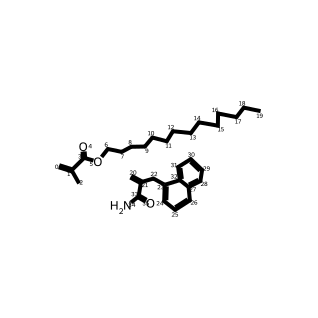 C=C(C)C(=O)OCCCCCCCCCCCCCC.C=C(Cc1cccc2ccccc12)C(N)=O